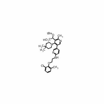 Cc1cccc(Cl)c1OCCNc1ccc(-c2cnc(C)c([C@H](OC(C)(C)C)C(=O)O)c2N2CCC(C)(C)CC2)cn1